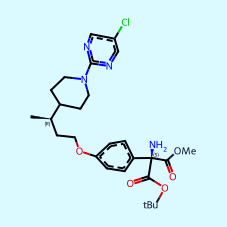 COC(=O)[C@](N)(C(=O)OC(C)(C)C)c1ccc(OCC[C@@H](C)C2CCN(c3ncc(Cl)cn3)CC2)cc1